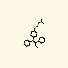 CC/C(=C(\c1ccccc1)c1ccc(OCCC(C)C)cc1)c1ccccc1